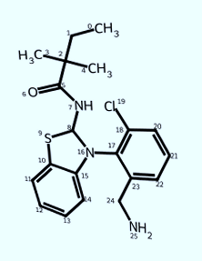 CCC(C)(C)C(=O)NC1Sc2ccccc2N1c1c(Cl)cccc1CN